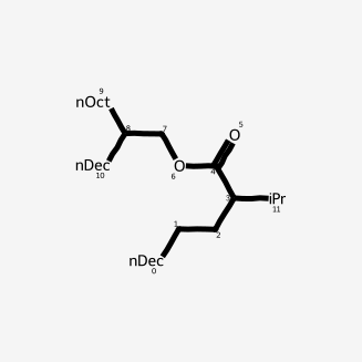 CCCCCCCCCCCCC(C(=O)OCC(CCCCCCCC)CCCCCCCCCC)C(C)C